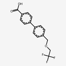 O=C(O)c1ccc(-c2ccc(COCC(F)(F)F)cc2)cc1